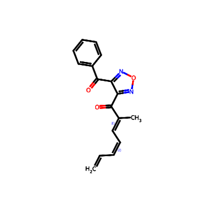 C=C/C=C\C=C(/C)C(=O)c1nonc1C(=O)c1ccccc1